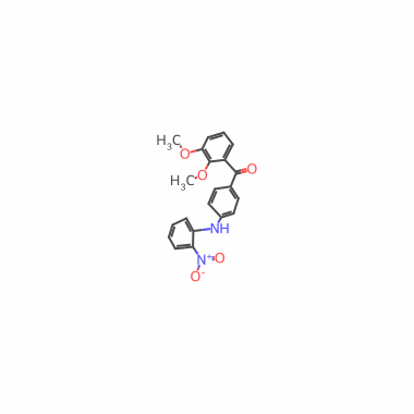 COc1cccc(C(=O)c2ccc(Nc3ccccc3[N+](=O)[O-])cc2)c1OC